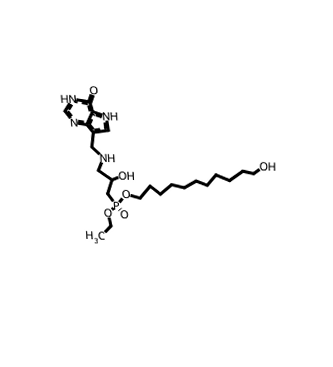 CCOP(=O)(CC(O)CNCc1c[nH]c2c(=O)[nH]cnc12)OCCCCCCCCCCCO